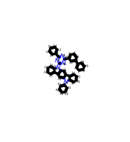 c1ccc(-c2cccc(-c3nc(-c4ccccc4)nc(-n4c5ccccc5c5cc6c(cc54)c4ccccc4n6-c4ccccc4)n3)c2)cc1